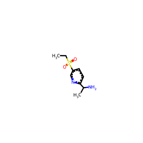 CCS(=O)(=O)c1ccc(C(C)N)nc1